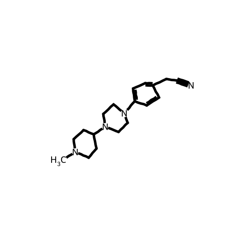 CN1CCC(N2CCN(c3ccc(CC#N)cc3)CC2)CC1